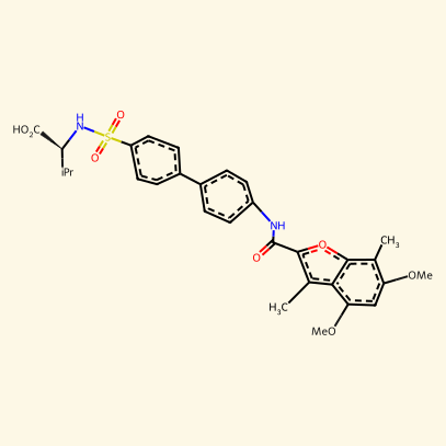 COc1cc(OC)c2c(C)c(C(=O)Nc3ccc(-c4ccc(S(=O)(=O)N[C@H](C(=O)O)C(C)C)cc4)cc3)oc2c1C